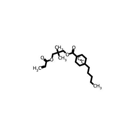 C=CC(=O)OCC(C)(C)COC(=O)C12CCC(CCCCC)(CC1)CC2